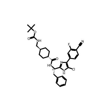 CC(C)(C)OC(=O)NC[C@H]1CC[C@H](C(=O)N[C@@H](Cc2ccccc2)c2nc(-c3ccc(C#N)c(F)c3)c(Cl)[nH]2)CC1